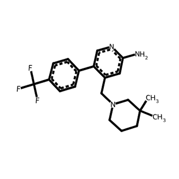 CC1(C)CCCN(Cc2cc(N)ncc2-c2ccc(C(F)(F)F)cc2)C1